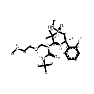 CN[SH]1(=O)C[C@@](C)(c2ccccc2F)N=C(N(COCCOC)C(=O)OC(C)(C)C)C1(C)C